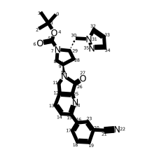 CC(C)(C)OC(=O)N1C[C@H](N2Cc3ccc(-c4cccc(C#N)c4)nc3C2=O)C[C@H]1Cn1cccn1